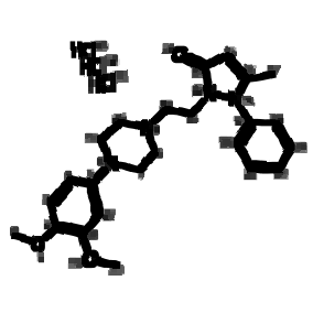 COc1ccc(N2CCN(CCn3c(=O)cc(C)n3-c3ccccc3)CC2)cc1OC.Cl.Cl.Cl